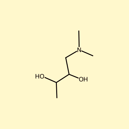 CC(O)C(O)CN(C)C